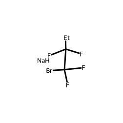 CCC(F)(F)C(F)(F)Br.[NaH]